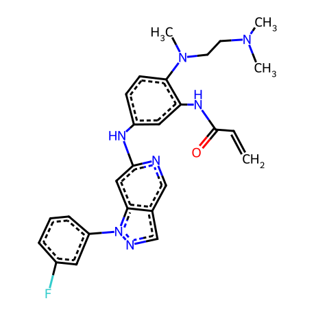 C=CC(=O)Nc1cc(Nc2cc3c(cn2)cnn3-c2cccc(F)c2)ccc1N(C)CCN(C)C